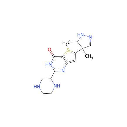 CC1NN=CC1(C)c1cc2nc(C3CNCCN3)[nH]c(=O)c2s1